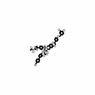 CC(=O)Nc1nc(-c2ccc(S(=O)(=O)N3Cc4cc5c(cc4C[C@H]3C(=O)N[C@@H](Cc3ccc(-c4ccc(C#N)cc4)cc3)C(=O)O)OCC(c3ccc(OCc4ccc(Cl)c(Cl)c4)cc3)O5)cc2)cs1